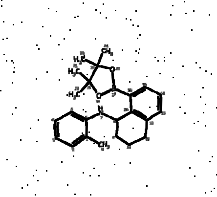 Cc1ccccc1NC1CCCc2cccc(B3OC(C)(C)C(C)(C)O3)c21